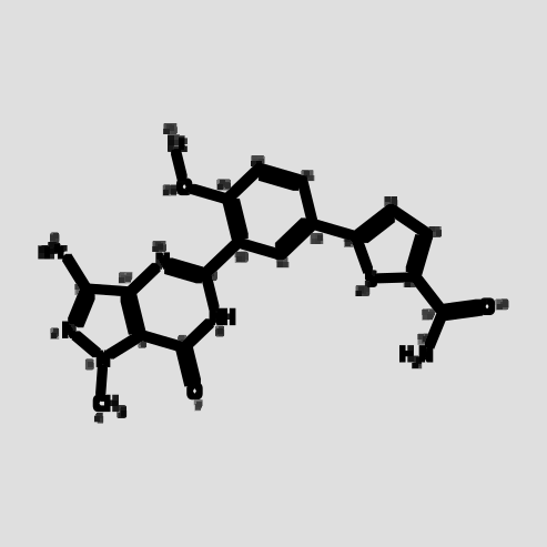 CCCc1nn(C)c2c(=O)[nH]c(-c3cc(-c4ccc(C(N)=O)s4)ccc3OCC)nc12